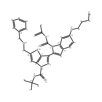 C=C(C)OC(=O)n1c(-c2nn(C(=O)OC(C)(C)C)c3cc(COCc4ccccc4)sc23)cc2ccc(OCCCBr)cc21